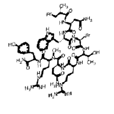 CC(C)C[C@H](C)C(=O)N[C@@H](CC(N)=O)C(=O)N[C@@H](Cc1c[nH]c2ccccc12)C(=O)N[C@H](C(=O)N[C@H](C(=O)N[C@@H](CCCNC(=N)N)C(=O)N[C@@H](CCC(N)=O)C(=O)N(C)[C@@H](CCCNC(=N)N)C(=O)NC(Cc1ccc(O)cc1)C(N)=O)[C@@H](C)O)C(C)C